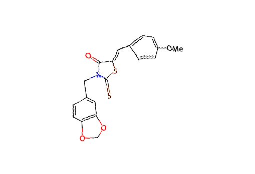 COc1ccc(C=C2SC(=S)N(Cc3ccc4c(c3)OCO4)C2=O)cc1